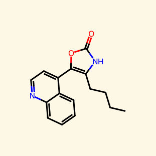 CCCCc1[nH]c(=O)oc1-c1ccnc2ccccc12